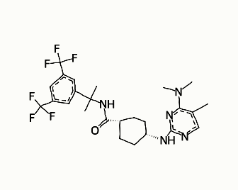 Cc1cnc(N[C@H]2CC[C@@H](C(=O)NC(C)(C)c3cc(C(F)(F)F)cc(C(F)(F)F)c3)CC2)nc1N(C)C